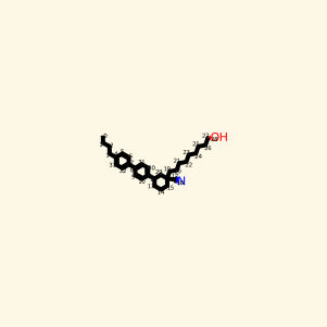 CCCCc1ccc(-c2ccc(C3CCCC(C#N)(CCCCCCCCCO)C3)cc2)cc1